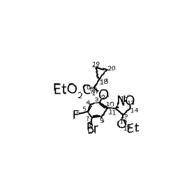 CCOC(=O)[C@@H](Oc1cc(F)c(Br)cc1C1=NOCC1OCC)C1CC1